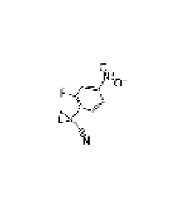 N#CC1(c2ccc([N+](=O)[O-])cc2F)CC1